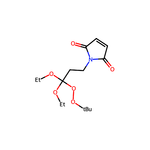 CCOC(CCN1C(=O)C=CC1=O)(OCC)OOC(C)(C)C